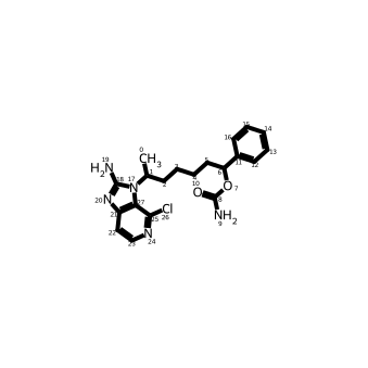 CC(CCCCC(OC(N)=O)c1ccccc1)n1c(N)nc2ccnc(Cl)c21